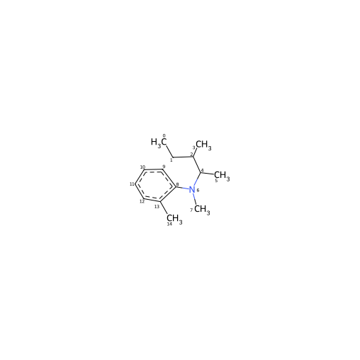 CCC(C)C(C)N(C)c1ccccc1C